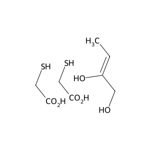 CC=C(O)CO.O=C(O)CS.O=C(O)CS